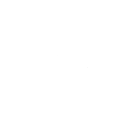 CCCCCCCCCCC(C)(c1ccc(O)c(C)c1)c1ccc(O)c(C)c1